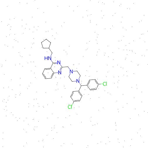 Clc1ccc(C(c2ccc(Cl)cc2)N2CCN(Cc3nc(NCC4CCCC4)c4ccccc4n3)CC2)cc1